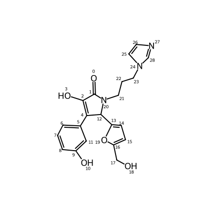 O=C1C(O)=C(c2cccc(O)c2)C(c2ccc(CO)o2)N1CCCn1ccnc1